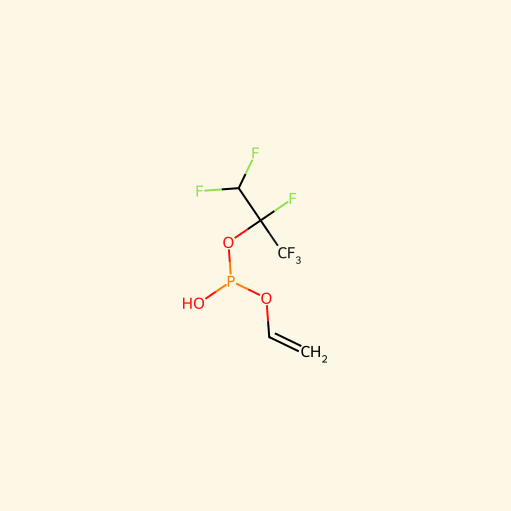 C=COP(O)OC(F)(C(F)F)C(F)(F)F